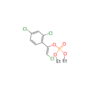 CCOP(=O)(OCC)OC(=CCl)c1ccc(Cl)cc1Cl